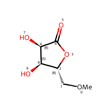 COC[C@H]1OC(=O)[C@H](O)[C@@H]1O